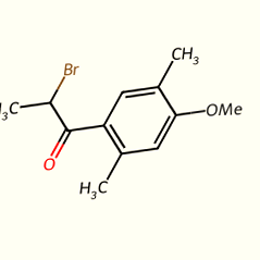 COc1cc(C)c(C(=O)C(C)Br)cc1C